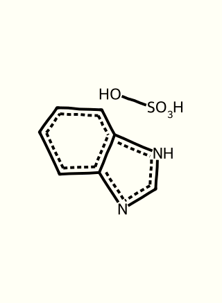 O=S(=O)(O)O.c1ccc2[nH]cnc2c1